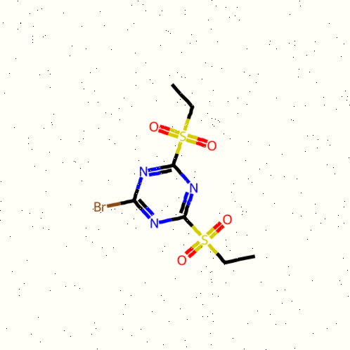 CCS(=O)(=O)c1nc(Br)nc(S(=O)(=O)CC)n1